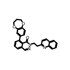 O=c1c2c(-c3ccc4c(c3)OCCCO4)cccc2cnn1CCc1ccc2ccccc2n1